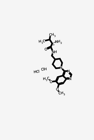 COc1cc2ncnc(N3CCC(CNC(=O)[C@@H](N)C(C)C)CC3)c2cc1OC.Cl.Cl